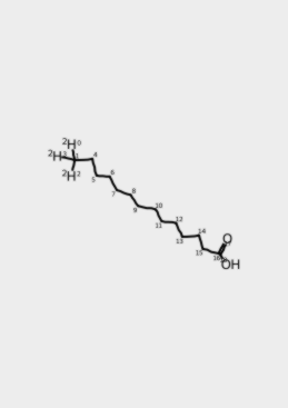 [2H]C([2H])([2H])CCCCCCCCCCCCC(=O)O